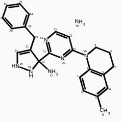 Cc1ccc2c(c1)CCCN2c1ccnc(C2(N)NNC=C2Cc2ccccc2)n1.N